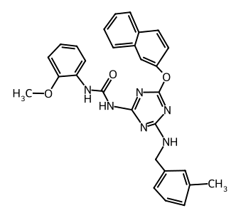 COc1ccccc1NC(=O)Nc1nc(NCc2cccc(C)c2)nc(Oc2ccc3ccccc3c2)n1